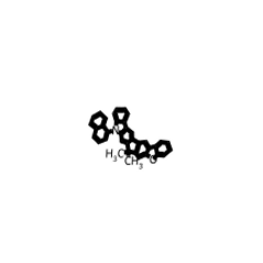 CC1(C)c2cc3oc4ccccc4c3cc2-c2cc3c4ccccc4n(-c4cccc5ccccc45)c3cc21